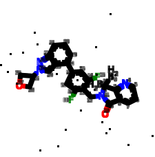 BC1(B)c2ncccc2C(=O)N1Cc1c(F)cc(-c2cccc3nn(C4COC4)cc23)cc1F